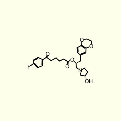 O=C(CCCCC(=O)c1ccc(F)cc1)O[C@@H](Cc1ccc2c(c1)OCCO2)CN1CC[C@H](O)C1